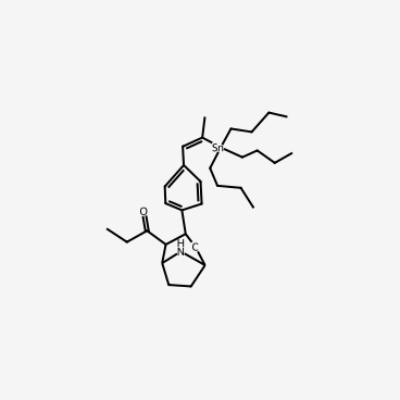 CCC[CH2][Sn]([CH2]CCC)([CH2]CCC)/[C](C)=C\c1ccc(C2CC3CCC(N3)C2C(=O)CC)cc1